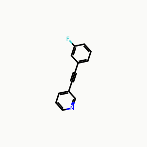 Fc1cccc(C#Cc2cccnc2)c1